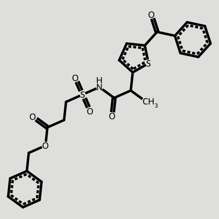 CC(C(=O)NS(=O)(=O)CCC(=O)OCc1ccccc1)c1ccc(C(=O)c2ccccc2)s1